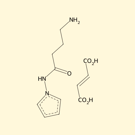 NCCCC(=O)Nn1cccc1.O=C(O)C=CC(=O)O